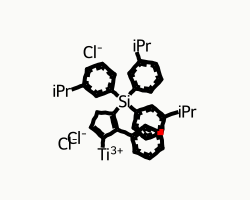 CC(C)c1cccc([Si](C2=C(c3ccccc3)[C]([Ti+3])=CC2)(c2cccc(C(C)C)c2)c2cccc(C(C)C)c2)c1.[Cl-].[Cl-].[Cl-]